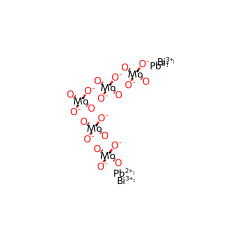 [Bi+3].[Bi+3].[O]=[Mo](=[O])([O-])[O-].[O]=[Mo](=[O])([O-])[O-].[O]=[Mo](=[O])([O-])[O-].[O]=[Mo](=[O])([O-])[O-].[O]=[Mo](=[O])([O-])[O-].[Pb+2].[Pb+2]